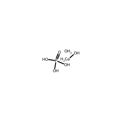 O.O=P(O)(O)O.[OH][GaH2]